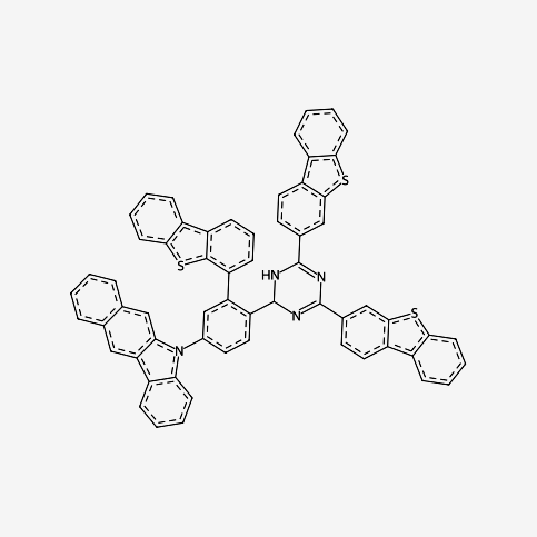 c1ccc2cc3c(cc2c1)c1ccccc1n3-c1ccc(C2N=C(c3ccc4c(c3)sc3ccccc34)N=C(c3ccc4c(c3)sc3ccccc34)N2)c(-c2cccc3c2sc2ccccc23)c1